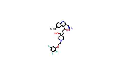 COc1ccc2ncc(CN)c(C(O)CCC3(CO)CCN(CCOc4cc(F)cc(F)c4F)CC3)c2c1